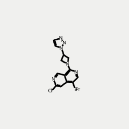 CC(C)c1cnc(N2CC(n3ccnn3)C2)c2cnc(Cl)cc12